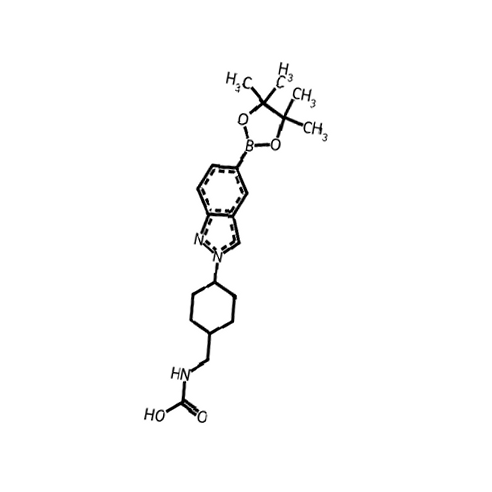 CC1(C)OB(c2ccc3nn(C4CCC(CNC(=O)O)CC4)cc3c2)OC1(C)C